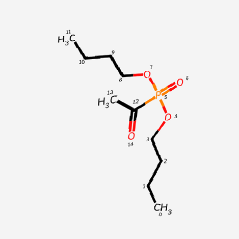 CCCCOP(=O)(OCCCC)C(C)=O